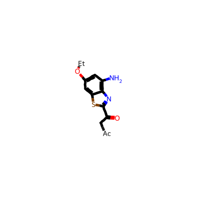 CCOc1cc(N)c2nc(C(=O)CC(C)=O)sc2c1